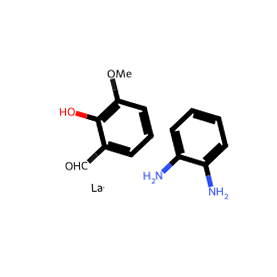 COc1cccc(C=O)c1O.Nc1ccccc1N.[La]